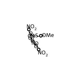 COc1ccc(CS[C@H]2C[C@@H](C(=O)N3CCN(CC(=O)OCc4ccc([N+](=O)[O-])cc4)CC3)N(C(=O)OCc3ccc([N+](=O)[O-])cc3)C2)cc1